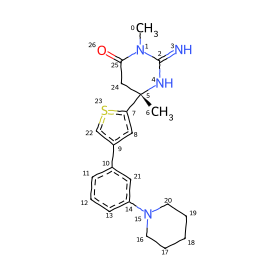 CN1C(=N)N[C@](C)(c2cc(-c3cccc(N4CCCCC4)c3)cs2)CC1=O